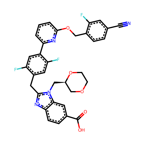 N#Cc1ccc(COc2cccc(-c3cc(F)c(Cc4nc5ccc(C(=O)O)cc5n4C[C@@H]4COCCO4)cc3F)n2)c(F)c1